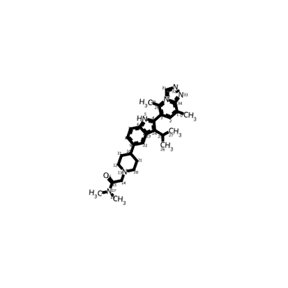 Cc1cc(-c2[nH]c3ccc(C4CCN(CC(=O)N(C)C)CC4)cc3c2C(C)C)c(C)n2cnnc12